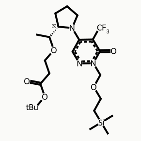 CC(OCCC(=O)OC(C)(C)C)[C@@H]1CCCN1c1cnn(COCC[Si](C)(C)C)c(=O)c1C(F)(F)F